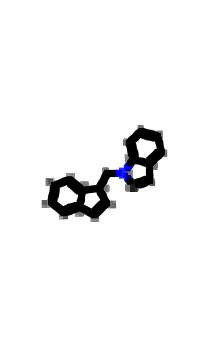 b1cc2ccccc2n1CC1C=Cc2ccccc21